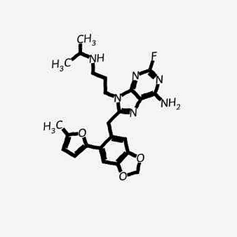 Cc1ccc(-c2cc3c(cc2Cc2nc4c(N)nc(F)nc4n2CCCNC(C)C)OCO3)o1